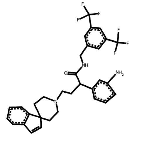 Nc1cccc(C(CCN2CCC3(C=Cc4ccccc43)CC2)C(=O)NCc2cc(C(F)(F)F)cc(C(F)(F)F)c2)c1